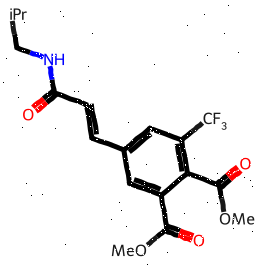 COC(=O)c1cc(C=CC(=O)NCC(C)C)cc(C(F)(F)F)c1C(=O)OC